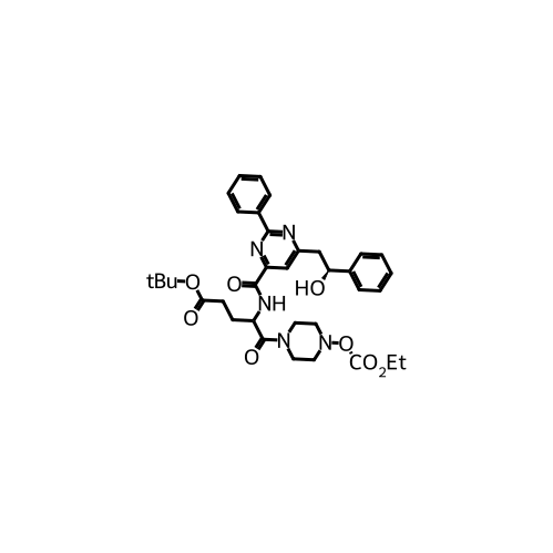 CCOC(=O)ON1CCN(C(=O)C(CCC(=O)OC(C)(C)C)NC(=O)c2cc(C[C@H](O)c3ccccc3)nc(-c3ccccc3)n2)CC1